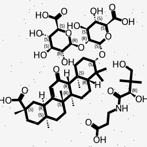 CC(C)(CO)[C@@H](O)C(=O)NCCC(=O)O.CC1(C)[C@@H](O[C@H]2O[C@H](C(=O)O)[C@@H](O)[C@H](O)[C@H]2O[C@@H]2O[C@H](C(=O)O)[C@@H](O)[C@H](O)[C@H]2O)CC[C@]2(C)[C@H]3C(=O)C=C4[C@@H]5C[C@@](C)(C(=O)O)CC[C@]5(C)CC[C@@]4(C)[C@]3(C)CC[C@@H]12